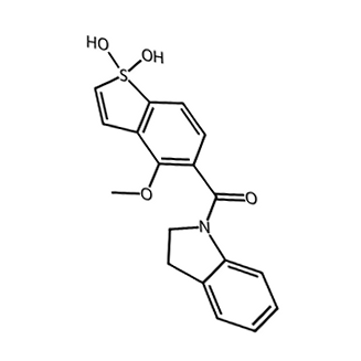 COc1c(C(=O)N2CCc3ccccc32)ccc2c1C=CS2(O)O